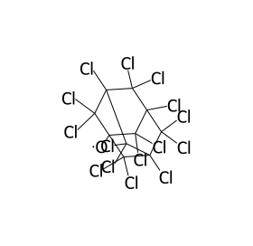 [O]C12C(Cl)(Cl)C3(Cl)C(Cl)(Cl)C(Cl)(C1(Cl)Cl)C(Cl)(Cl)C(Cl)(C2(Cl)Cl)C3(Cl)Cl